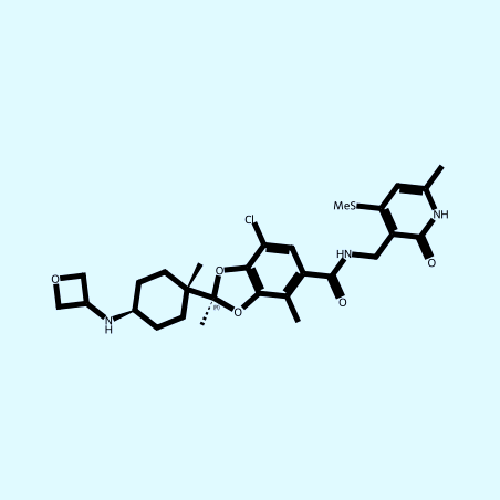 CSc1cc(C)[nH]c(=O)c1CNC(=O)c1cc(Cl)c2c(c1C)O[C@@](C)([C@]1(C)CC[C@@H](NC3COC3)CC1)O2